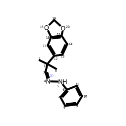 CC(C)(/C=N\Nc1ccccc1)c1ccc2c(c1)OCO2